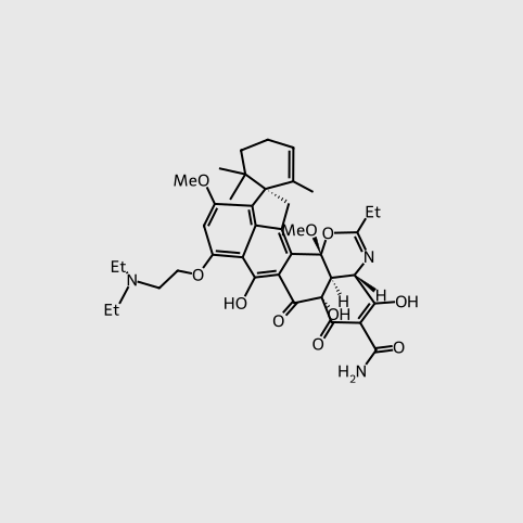 CCC1=N[C@@H]2C(O)=C(C(N)=O)C(=O)[C@@]3(O)C(=O)c4c(c5c6c(c(OC)cc(OCCN(CC)CC)c6c4O)[C@]4(C5)C(C)=CCCC4(C)C)[C@](OC)(O1)[C@@H]23